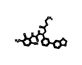 CCOC(=O)C[C@H](NC(=O)Nc1c(O)ccn(C)c1=O)c1cccc(-c2ccc3c(c2)OCO3)c1